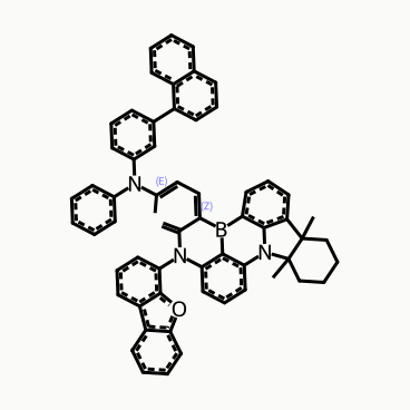 C=C1/C(=C\C=C(/C)N(c2ccccc2)c2cccc(-c3cccc4ccccc34)c2)B2c3cccc4c3N(c3cccc(c32)N1c1cccc2c1oc1ccccc12)C1(C)CCCCC41C